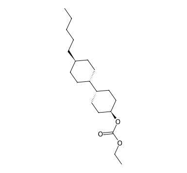 CCCCC[C@H]1CC[C@H]([C@H]2CC[C@H](OC(=O)OCC)CC2)CC1